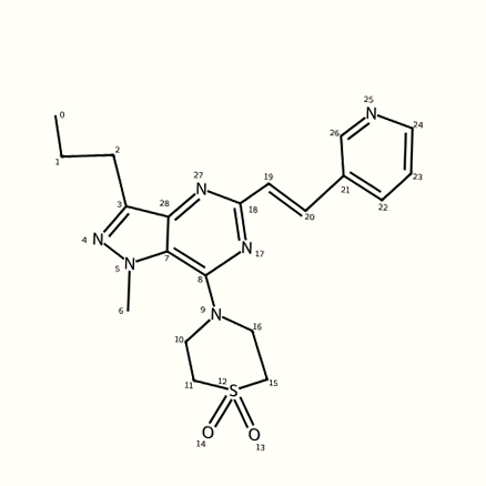 CCCc1nn(C)c2c(N3CCS(=O)(=O)CC3)nc(C=Cc3cccnc3)nc12